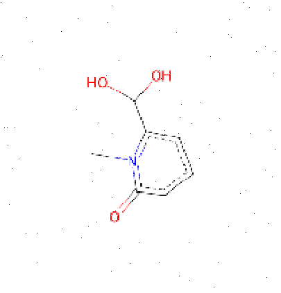 Cn1c(C(O)O)cccc1=O